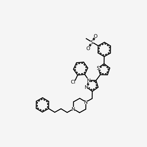 CS(=O)(=O)c1cccc(-c2ccc(-c3cc(CN4CCN(CCCc5ccccc5)CC4)nn3-c3ccccc3Cl)s2)c1